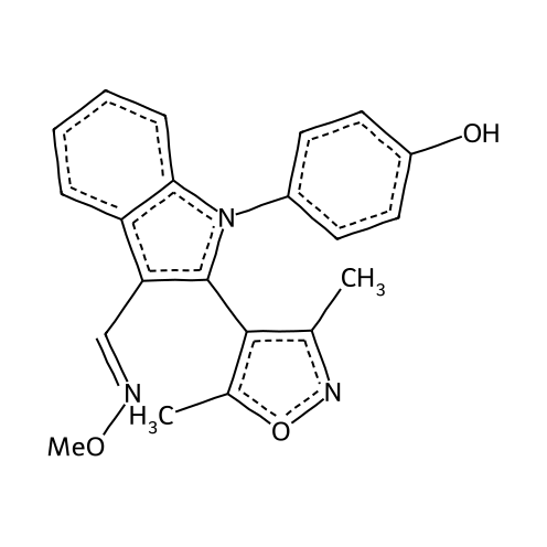 CON=Cc1c(-c2c(C)noc2C)n(-c2ccc(O)cc2)c2ccccc12